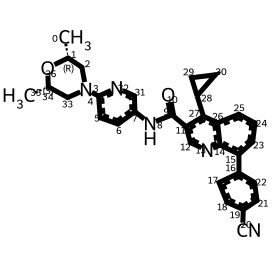 C[C@@H]1CN(c2ccc(NC(=O)c3cnc4c(-c5ccc(C#N)cc5)cccc4c3C3CC3)cn2)C[C@H](C)O1